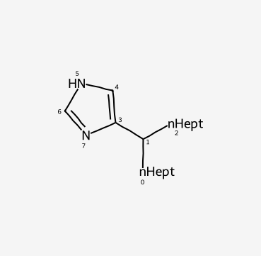 CCCCCCCC(CCCCCCC)c1c[nH]cn1